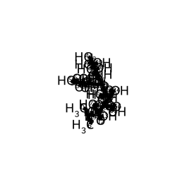 CCCN(CCC)C(=O)C[C@@H](C(=O)O)N(CCN(CCN(CC(=O)O)C(CCON(CCNC(=O)C(O)C(O)C(O)C(O)CO)CCNC(=O)C(O)C(O)C(O)C(O)CO)C(=O)O)CO[PH](=O)O)CC(=O)O